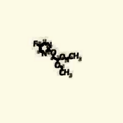 CCOC(COc1ncc(F)cn1)OCC